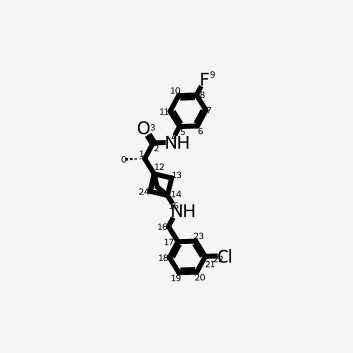 C[C@H](C(=O)Nc1ccc(F)cc1)C12CC(NCc3cccc(Cl)c3)(C1)C2